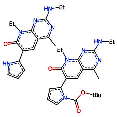 CCNc1nc(C)c2cc(-c3ccc[nH]3)c(=O)n(CC)c2n1.CCNc1nc(C)c2cc(-c3cccn3C(=O)OC(C)(C)C)c(=O)n(CC)c2n1